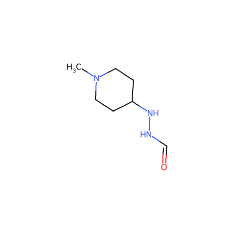 CN1CCC(NNC=O)CC1